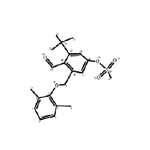 Cc1cccc(C)c1OCc1cc(OS(C)(=O)=O)cc(C(C)(C)C)c1C=O